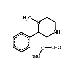 CC(C)(C)OC=O.CN1CCNCC1c1ccccc1